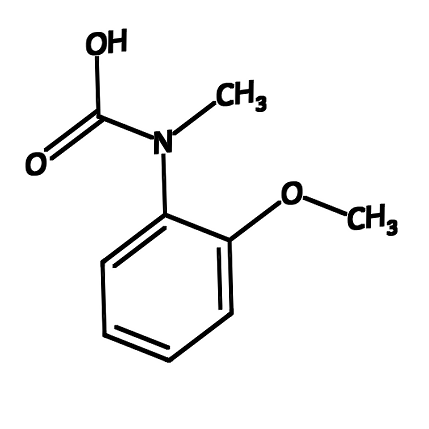 COc1ccccc1N(C)C(=O)O